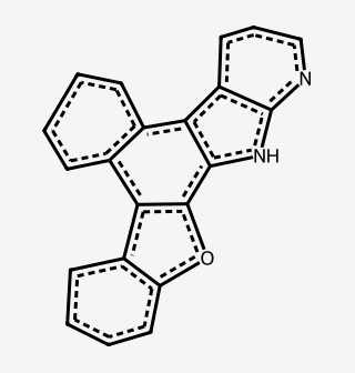 c1ccc2c(c1)oc1c3[nH]c4ncccc4c3c3ccccc3c21